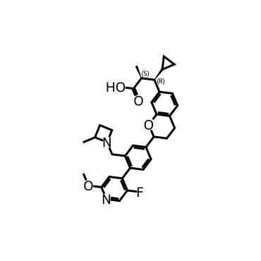 COc1cc(-c2ccc(C3CCc4ccc([C@H](C5CC5)[C@H](C)C(=O)O)cc4O3)cc2CN2CCC2C)c(F)cn1